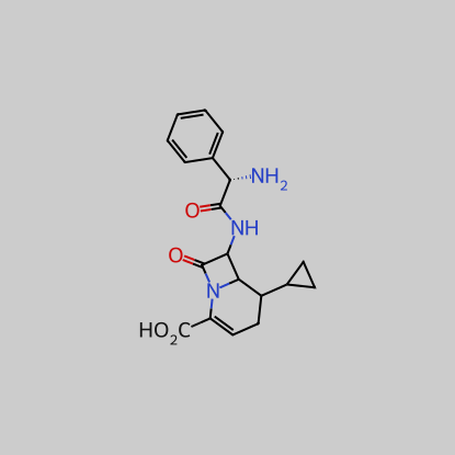 N[C@H](C(=O)NC1C(=O)N2C(C(=O)O)=CCC(C3CC3)C12)c1ccccc1